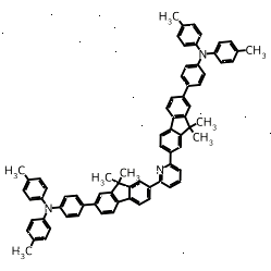 Cc1ccc(N(c2ccc(C)cc2)c2ccc(-c3ccc4c(c3)C(C)(C)c3cc(-c5cccc(-c6ccc7c(c6)C(C)(C)c6cc(-c8ccc(N(c9ccc(C)cc9)c9ccc(C)cc9)cc8)ccc6-7)n5)ccc3-4)cc2)cc1